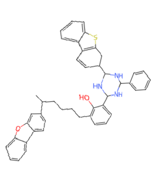 CC(CCCCc1cccc(C2NC(c3ccccc3)NC(C3C=Cc4c(sc5ccccc45)C3)N2)c1O)c1ccc2c(c1)oc1ccccc12